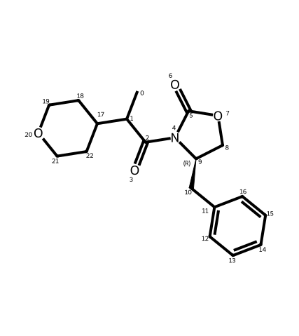 CC(C(=O)N1C(=O)OC[C@H]1Cc1ccccc1)C1CCOCC1